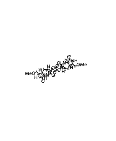 COC[C@@H]1NC(=O)[C@@H]2[C@H]1C[C@@H]1CN2C(=O)N1OS(=O)(=O)ON1C(=O)N2C[C@H]1C[C@H]1[C@H](COC)NC(=O)[C@H]12